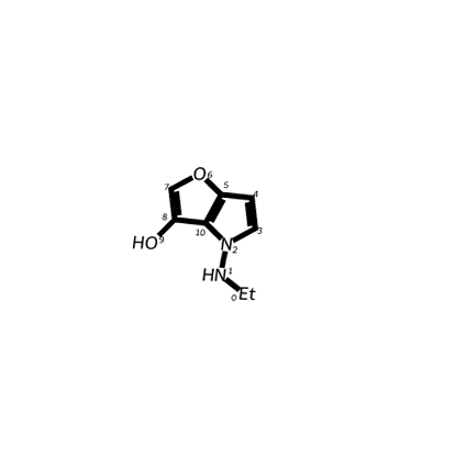 CCNn1ccc2occ(O)c21